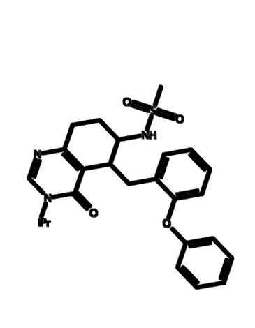 CC(C)n1cnc2c(c1=O)C(Cc1ccccc1Oc1ccccc1)C(NS(C)(=O)=O)CC2